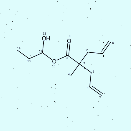 C=CCC(C)(CC=C)C(=O)OC(O)CC